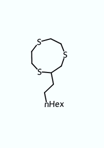 CCCCCCCCC1CSCCSCCS1